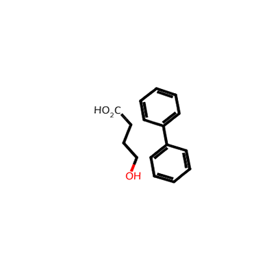 O=C(O)CCCO.c1ccc(-c2ccccc2)cc1